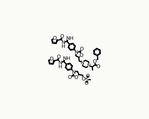 CC(C(=O)OCc1ccccc1)N1CCN(CC2CN(c3ccc(C(=N)NC(=O)c4ccco4)cc3)C(=O)O2)CC1.CS(=O)(=O)OCC1CN(c2ccc(C(=N)NC(=O)c3ccco3)cc2)C(=O)O1